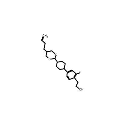 C=CCCC1COC(C2CCC(c3ccc(CCO)c(F)c3)CC2)OC1